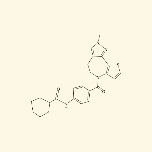 Cn1cc2c(n1)-c1sccc1N(C(=O)c1ccc(NC(=O)C3CCCCC3)cc1)CC2